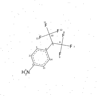 Nc1ccc([C](C(F)(F)F)C(F)(F)F)cc1